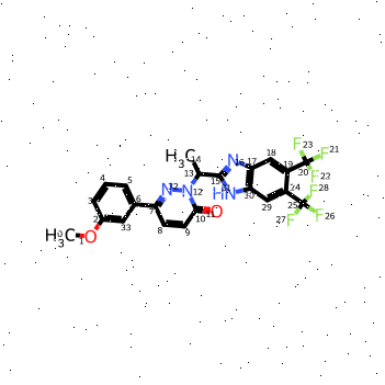 COc1cccc(-c2ccc(=O)n(C(C)c3nc4cc(C(F)(F)F)c(C(F)(F)F)cc4[nH]3)n2)c1